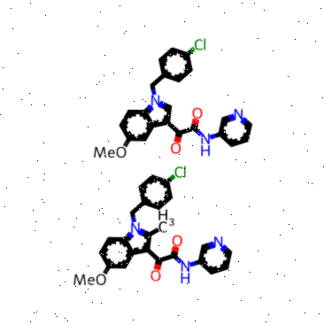 COc1ccc2c(c1)c(C(=O)C(=O)Nc1cccnc1)c(C)n2Cc1ccc(Cl)cc1.COc1ccc2c(c1)c(C(=O)C(=O)Nc1cccnc1)cn2Cc1ccc(Cl)cc1